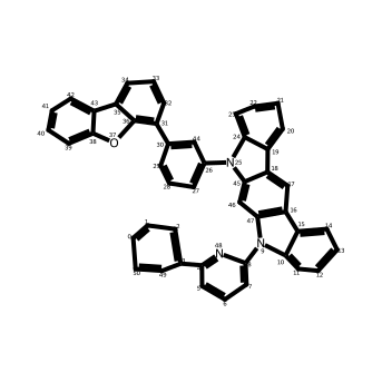 c1ccc(-c2cccc(-n3c4ccccc4c4cc5c6ccccc6n(-c6cccc(-c7cccc8c7oc7ccccc78)c6)c5cc43)n2)cc1